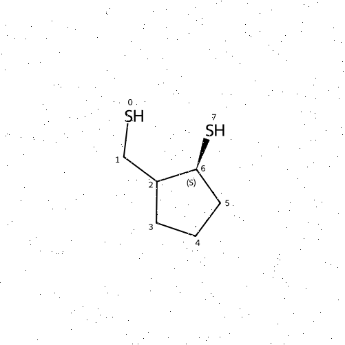 SCC1CCC[C@@H]1S